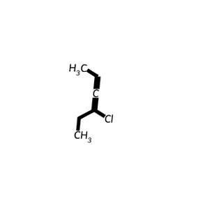 CC=C=C(Cl)CC